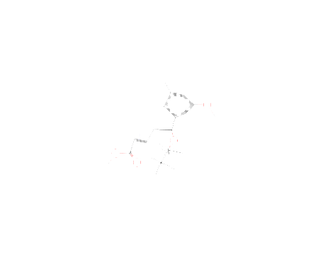 COC(=O)/C=C/CC(O[Si](C)(C)C(C)(C)C)c1cc(C)cc(OC)c1